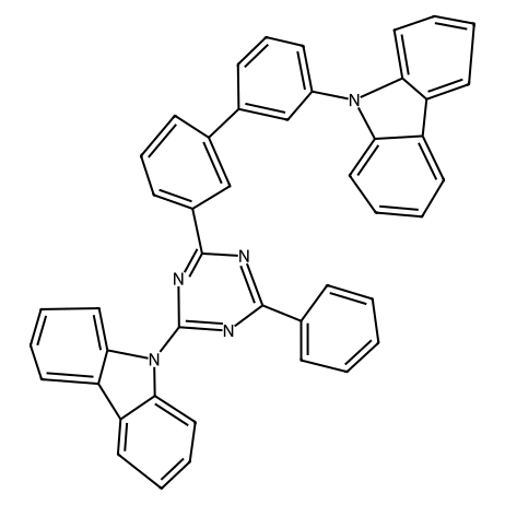 c1ccc(-c2nc(-c3cccc(-c4cccc(-n5c6ccccc6c6ccccc65)c4)c3)nc(-n3c4ccccc4c4ccccc43)n2)cc1